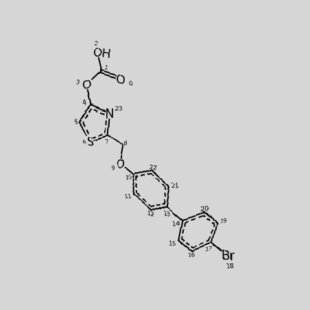 O=C(O)Oc1csc(COc2ccc(-c3ccc(Br)cc3)cc2)n1